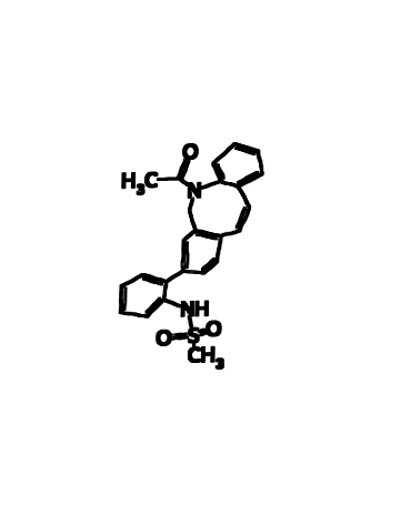 CC(=O)N1Cc2cc(-c3ccccc3NS(C)(=O)=O)ccc2/C=C\c2ccccc21